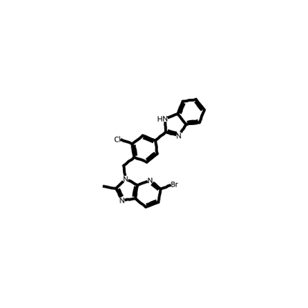 Cc1nc2ccc(Br)nc2n1Cc1ccc(-c2nc3ccccc3[nH]2)cc1Cl